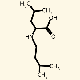 CC(C)CCNC(CC(C)C)C(=O)O